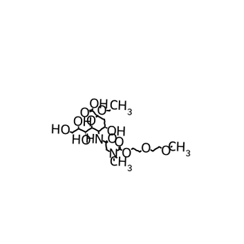 CCO[C@]1(C(=O)O)C[C@@H](O)C(NC(=O)CN(C)C(=O)OCCOCCOC)C([C@H](O)[C@H](O)CO)O1